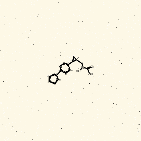 NC(=O)N(O)CC1CC1c1ccc(-c2ccccc2)cc1